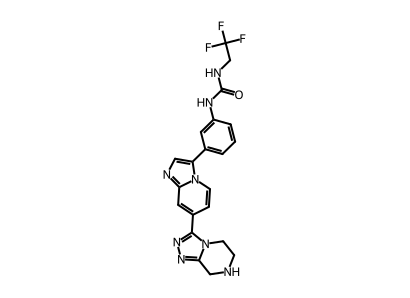 O=C(NCC(F)(F)F)Nc1cccc(-c2cnc3cc(-c4nnc5n4CCNC5)ccn23)c1